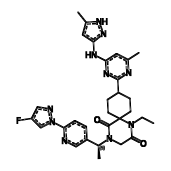 CCN1C(=O)CN([C@@H](C)c2ccc(-n3cc(F)cn3)nc2)C(=O)C12CCC(c1nc(C)cc(Nc3cc(C)[nH]n3)n1)CC2